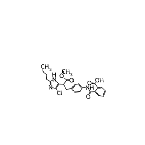 CCCCc1nc(Cl)c(C(Cc2ccc(NC(=O)c3ccccc3C(=O)O)cc2)C(=O)OC)[nH]1